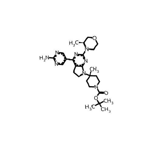 C[C@H]1COCCN1c1nc(-c2cnc(N)nc2)c2c(n1)N(C1(C)CCN(C(=O)OC(C)(C)C)CC1)CC2